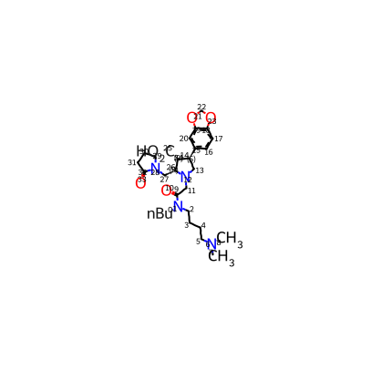 CCCCN(CCCCN(C)C)C(=O)CN1C[C@H](c2ccc3c(c2)OCO3)[C@@H](C(=O)O)[C@@H]1CN1CCCC1=O